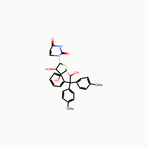 COc1ccc(C(c2ccccc2)(c2ccc(OC)cc2)C(O)[C@H]2S[C@@H](n3ccc(=O)[nH]c3=O)[C@H](O)[C@@H]2O)cc1